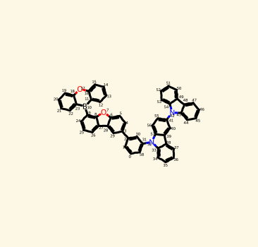 c1cc(-c2ccc3oc4c(B5c6ccccc6Oc6ccccc65)cccc4c3c2)cc(-n2c3ccccc3c3cc(-n4c5ccccc5c5ccccc54)ccc32)c1